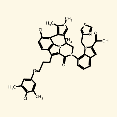 Cc1cc(OCCCc2c3n4c5c(c(Cl)ccc25)-c2c(cn(C)c2C)[C@@]4(C)CN(c2cccc4cc(C(=O)O)n(Cc5cscn5)c24)C3=O)cc(C)c1Cl